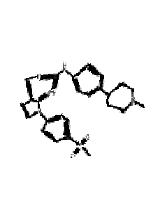 CN1CCC(c2ccc(Nc3ncc4ccn(-c5ccc(S(C)(=O)=O)cc5)c4n3)cc2)CC1